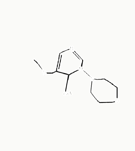 COC1=CN=CN(N2CCOCC2)C1O